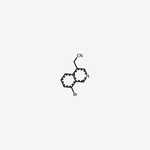 N#CCc1cncc2c(Br)cccc12